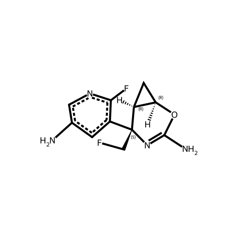 NC1=N[C@](CF)(c2cc(N)cnc2F)[C@H]2C[C@H]2O1